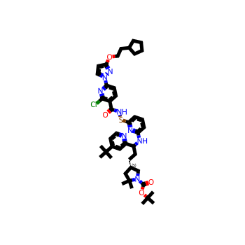 CC(C)(C)OC(=O)N1C[C@@H](CCC(Nc2cccc(SNC(=O)c3ccc(-n4ccc(OCCC5CCCC5)n4)nc3Cl)n2)c2cc(C(C)(C)C)ccn2)CC1(C)C